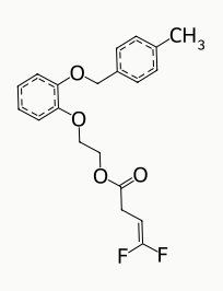 Cc1ccc(COc2ccccc2OCCOC(=O)CC=C(F)F)cc1